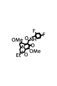 CCN1CC2C[C@H](OC)c3c(C(=O)NCc4ccc(F)cc4F)c(=O)c(OC)c(n32)C1=O